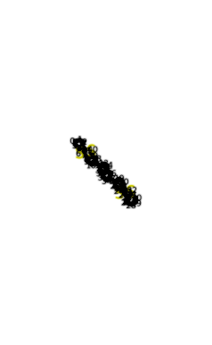 c1ccc2c(c1)sc1c3ccc(-c4ccc5cc(-c6ccc7c(c6)sc6c8ccccc8sc76)ccc5c4)cc3sc21